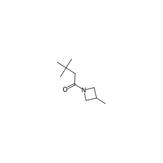 CC1CN(C(=O)CC(C)(C)C)C1